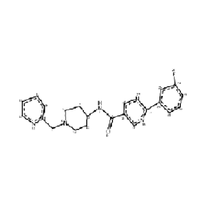 O=C(NC1CCN(Cc2ccccn2)CC1)c1cnc(-c2cccc(F)c2)nc1